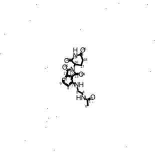 CC(=O)NCCNc1cccc2c1C(=O)N(C1CCC(=O)NC1=O)C2=O